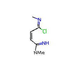 C/N=C(Cl)\C=C/C(=N)NC